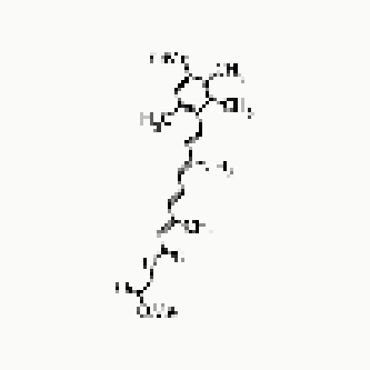 COC(=O)COC(=O)/C=C(C)/C=C/C=C(C)/C=C/c1c(C)cc(OC)c(C)c1C